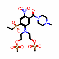 CCS(=O)(=O)c1cc([N+](=O)[O-])c(C(=O)N2CCN(C)CC2)cc1N(CCOS(C)(=O)=O)CCOS(C)(=O)=O